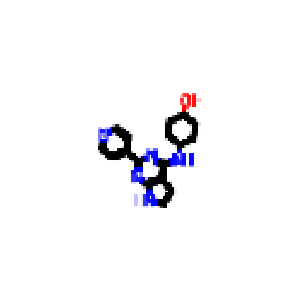 O[C@H]1CC[C@H](Nc2nc(-c3ccncc3)nc3c2CCN3)CC1